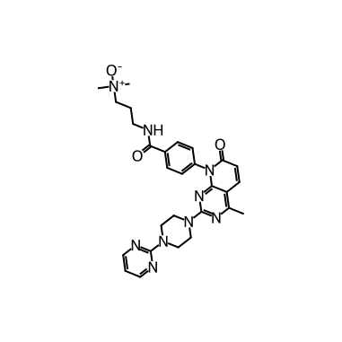 Cc1nc(N2CCN(c3ncccn3)CC2)nc2c1ccc(=O)n2-c1ccc(C(=O)NCCC[N+](C)(C)[O-])cc1